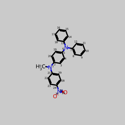 CN(c1ccc(N(c2ccccc2)c2ccccc2)cc1)c1ccc([N+](=O)[O-])cc1